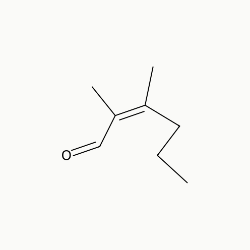 CCCC(C)=C(C)C=O